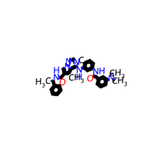 Cc1ccc(NC(=O)c2cccc(N(C)C)c2)cc1Nc1ncnn2cc(C(=O)N[C@@H](C)c3ccccc3)c(C)c12